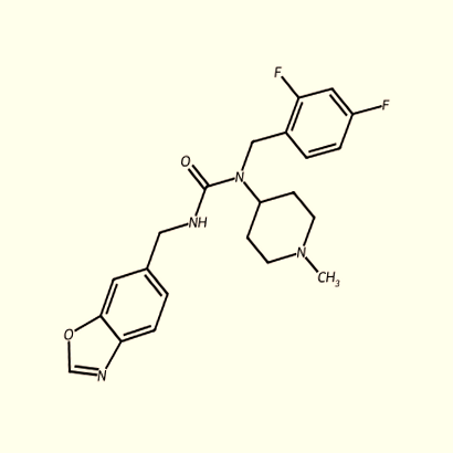 CN1CCC(N(Cc2ccc(F)cc2F)C(=O)NCc2ccc3ncoc3c2)CC1